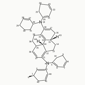 C[C@H]1C=C(N(C2=CC=CCC2)C2=C3CC[C@H]4CC=C(N(C5=CC=CCC5)C5C=CCCC5)C5=C4[C@H]3C(C=C2)CC5)C=CC1